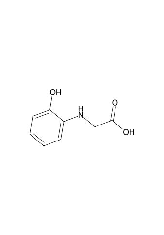 O=C(O)CNc1ccccc1O